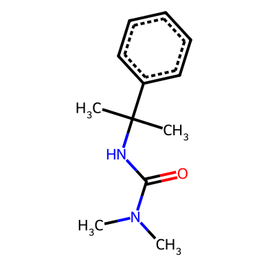 CN(C)C(=O)NC(C)(C)c1ccccc1